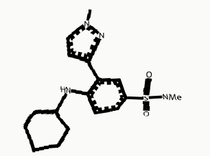 CNS(=O)(=O)c1ccc(NC2CCCCC2)c(-c2ccn(C)n2)c1